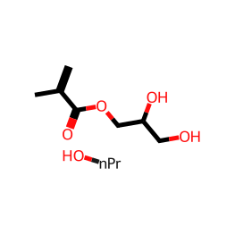 C=C(C)C(=O)OCC(O)CO.CCCO